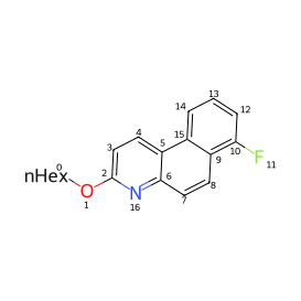 CCCCCCOc1ccc2c(ccc3c(F)cccc32)n1